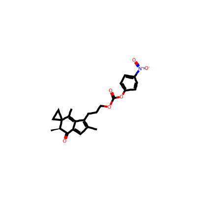 CC1=C(CCCOC(=O)Oc2ccc([N+](=O)[O-])cc2)C2=C(C)C3(CC3)[C@H](C)C(=O)C2=C1